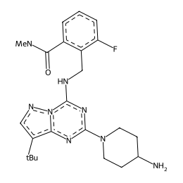 CNC(=O)c1cccc(F)c1CNc1nc(N2CCC(N)CC2)nc2c(C(C)(C)C)cnn12